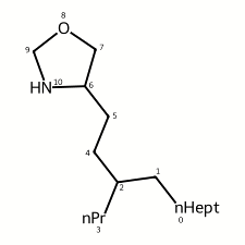 CCCCCCCCC(CCC)CCC1COCN1